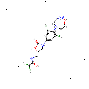 O=C(NC[C@H]1CN(c2cc(F)c(N3CCNOCC3)c(F)c2)C(=O)O1)C(F)F